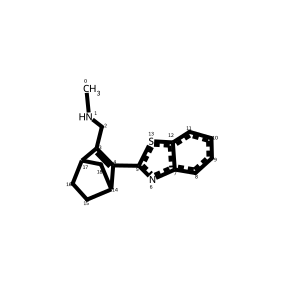 CNCC1=C(c2nc3ccccc3s2)C2CCC1C2